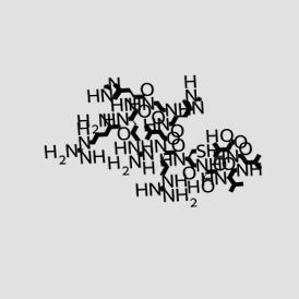 CC(C)[C@H](NC(=O)[C@@H](NC(=O)[C@@H](NC(=O)[C@H](CO)NC(=O)[C@H](CS)NC(=O)[C@H](CCCNC(=N)N)NC(=O)[C@@H](NC(=O)[C@H](Cc1c[nH]cn1)NC(=O)CNC(=O)[C@H](Cc1c[nH]cn1)NC(=O)[C@H](CCCNC(=N)N)NC(=O)[C@@H](N)CCCNC(=N)N)C(C)C)C(C)C)C(C)C)C(=O)O